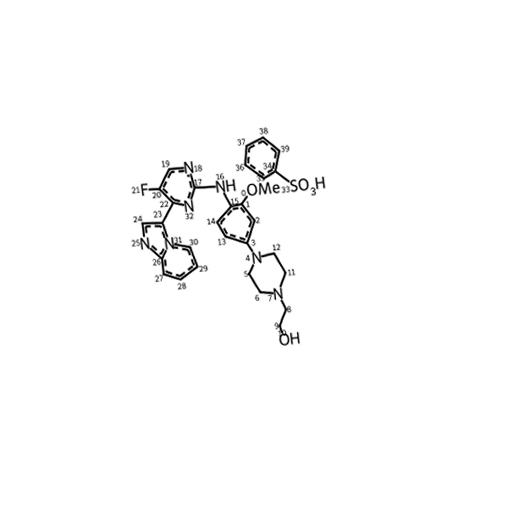 COc1cc(N2CCN(CCO)CC2)ccc1Nc1ncc(F)c(-c2cnc3ccccn23)n1.O=S(=O)(O)c1ccccc1